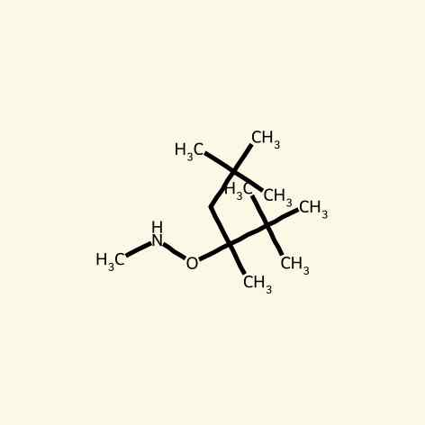 CNOC(C)(CC(C)(C)C)C(C)(C)C